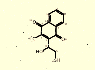 CC1=C(C(O)CS)C(=O)c2ccccc2C1=O